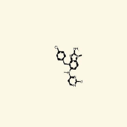 CN(c1ccnc(Cl)n1)c1ccc2c(nc(N)n2C)c1Cc1ccc(Cl)cc1